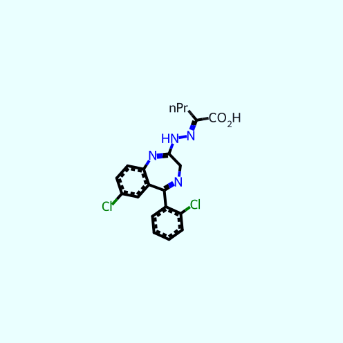 CCC/C(=N\NC1=Nc2ccc(Cl)cc2C(c2ccccc2Cl)=NC1)C(=O)O